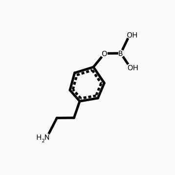 NCCc1ccc(OB(O)O)cc1